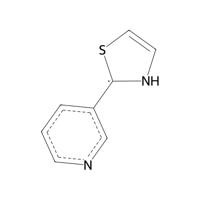 C1=CS[C](c2cccnc2)N1